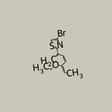 C=C(/C=C\C(=C/C)OCC)c1nc(Br)cs1